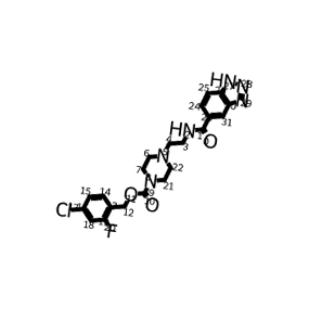 O=C(NCCN1CCN(C(=O)OCc2ccc(Cl)cc2F)CC1)c1ccc2[nH]nnc2c1